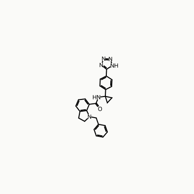 O=C(NC1(c2ccc(-c3nnn[nH]3)cc2)CC1)c1cccc2c1N(Cc1ccccc1)CC2